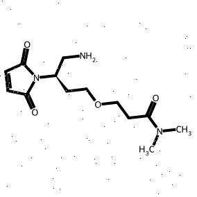 CN(C)C(=O)CCOCC[C@H](CN)N1C(=O)C=CC1=O